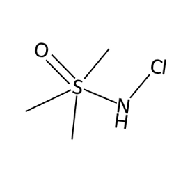 CS(C)(C)(=O)NCl